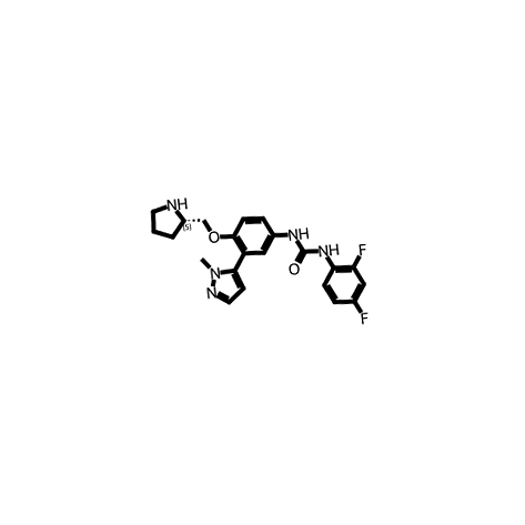 Cn1nccc1-c1cc(NC(=O)Nc2ccc(F)cc2F)ccc1OC[C@@H]1CCCN1